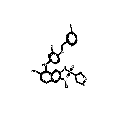 CCOc1cc2ncc(C#N)c(Nc3ccc(OCc4cccc(F)c4)c(Cl)c3)c2cc1NS(=O)(=O)C1CSSC1